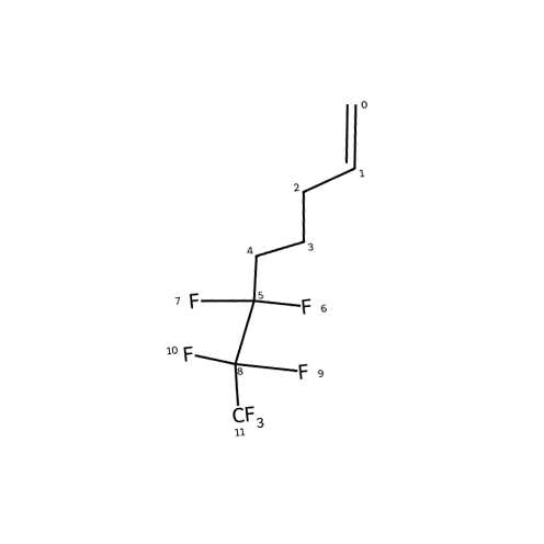 C=CCCCC(F)(F)C(F)(F)C(F)(F)F